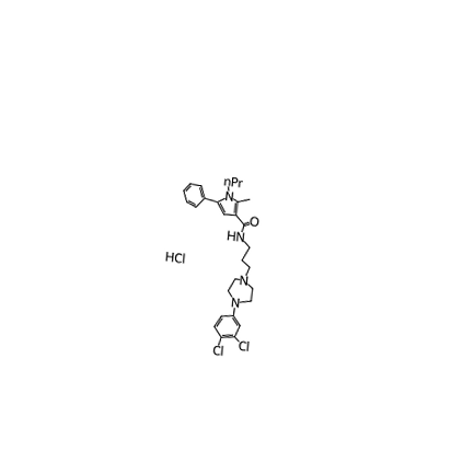 CCCn1c(-c2ccccc2)cc(C(=O)NCCCN2CCN(c3ccc(Cl)c(Cl)c3)CC2)c1C.Cl